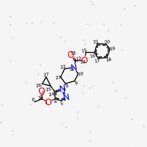 CC(=O)Oc1cnn(C2CCN(C(=O)OCc3ccccc3)CC2)c1C1CC1